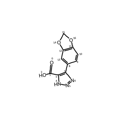 O=C(O)c1[nH]nnc1-c1ccc2c(c1)OCO2